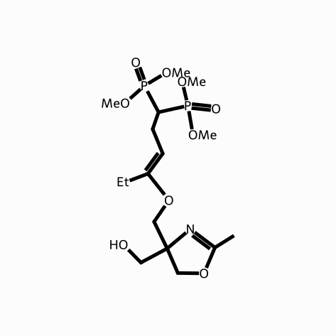 CC/C(=C\CC(P(=O)(OC)OC)P(=O)(OC)OC)OCC1(CO)COC(C)=N1